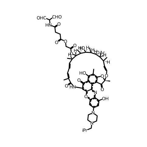 CC(=O)O[C@H]1[C@H](C)[C@H](O)[C@H](C)[C@@H](OC(=O)COC(=O)CCC(=O)NC(C=O)C=O)[C@@H](C)/C=C/C=C(/C)C(=O)Nc2c3oc4cc(N5CCN(CC(C)C)CC5)cc(O)c4nc-3c3c4c(c(C)c(O)c3c2=O)O[C@](C)(O/C=C/[C@H](C)[C@H]1C)C4=O